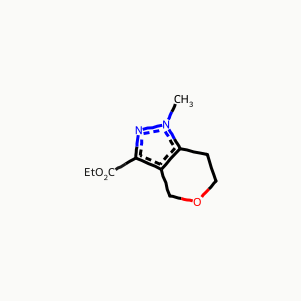 CCOC(=O)c1nn(C)c2c1COCC2